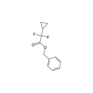 O=C(OCc1ccccc1)C(F)(F)C1CC1